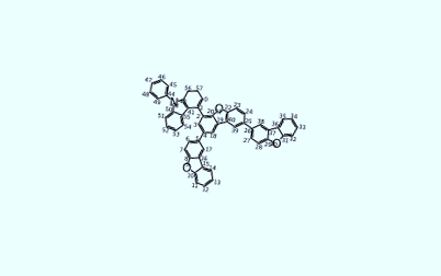 C1=C(c2cc(-c3ccc4oc5ccccc5c4c3)cc3c2oc2ccc(-c4ccc5oc6ccccc6c5c4)cc23)c2c(n(-c3ccccc3)c3ccccc23)CC1